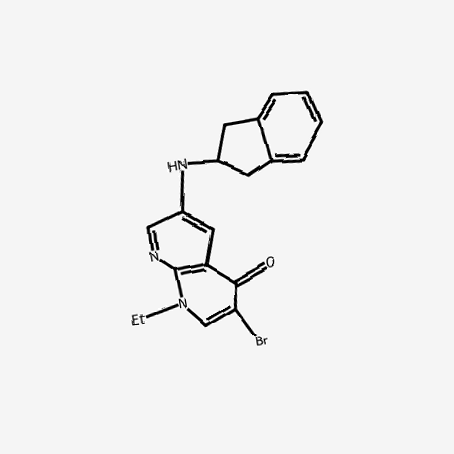 CCn1cc(Br)c(=O)c2cc(NC3Cc4ccccc4C3)cnc21